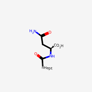 CCCCCCCC(=O)N[C@@H](CC(N)=O)C(=O)O